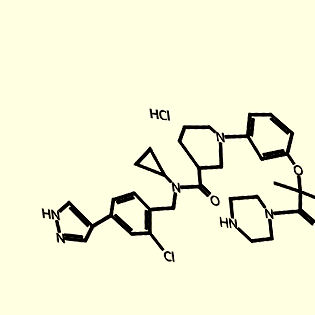 CC(C)(Oc1cccc(N2CCCC(C(=O)N(Cc3ccc(-c4cn[nH]c4)cc3Cl)C3CC3)C2)c1)C(=O)N1CCNCC1.Cl